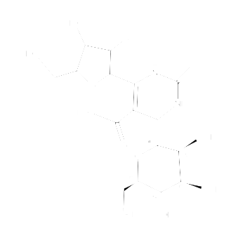 CCC1OC(C2=C(C(C)=O)C([C@H]3O[C@H](CO)[C@@H](O)[C@H](O)[C@@H]3O)NC(=O)N2)C(O)C1O